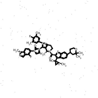 Cc1cc(-n2nc3c(c2-n2ccn(-c4ccc5c(cnn5C)c4F)c2=O)[C@H](C)N(C(=O)c2sc4cc(C5CCOC(C)(C)C5)ccc4c2C2(C#N)C[C@@H]2C)CC3)cc(C)c1F